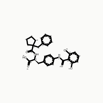 O=C(Nc1ccc(C[C@H](NC(=O)C2(Cc3ccccc3)CCCC2)C(=O)O)cc1)c1c(Cl)cccc1Cl